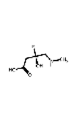 CNC[C@@](O)(F)CC(=O)O